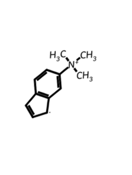 C[N+](C)(C)c1ccc2c(c1)[CH]C=C2